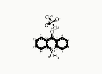 C[n+]1c2ccccc2c(Cl)c2ccccc21.O=P([O-])(Cl)Cl